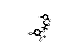 CC(C)(Oc1ccc(O)cc1[N+](=O)[O-])C(=O)CN1C(=O)CCC1=O